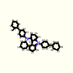 Cc1ccccc1-c1ccc(N(c2ccccc2)c2cccc3c2c2ccccc2n3-c2ccc(-c3ccccc3)cc2)cc1